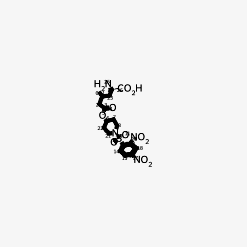 CC(CC(=O)OC1CCN(S(=O)(=O)c2ccc([N+](=O)[O-])cc2[N+](=O)[O-])CC1)C[C@H](N)C(=O)O